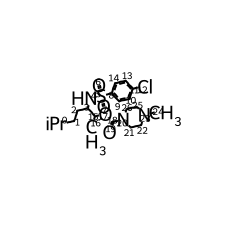 CC(C)CCC(NS(=O)(=O)c1ccc(Cl)cc1)C(C)OC(=O)N1CCN(C)CC1